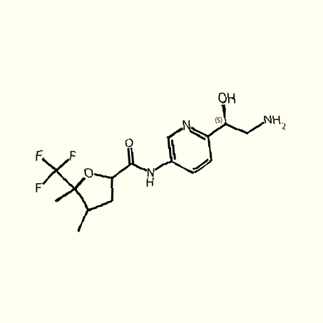 CC1CC(C(=O)Nc2ccc([C@@H](O)CN)nc2)OC1(C)C(F)(F)F